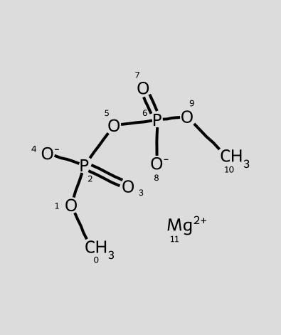 COP(=O)([O-])OP(=O)([O-])OC.[Mg+2]